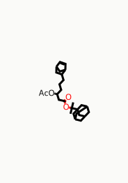 CC(=O)OC(CCCC1CC2C=CC1C2)CC(=O)OC(C)(C)C12CC3CC(CC(C3)C1)C2